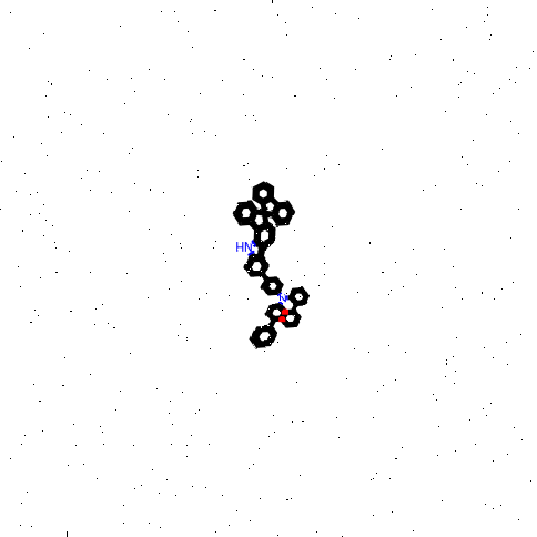 c1ccc(-c2ccc(N(c3ccc(-c4ccc5[nH]c6c7c(ccc6c5c4)C4(c5ccccc5-c5ccccc54)c4ccccc4-7)cc3)c3ccccc3-c3ccccc3)cc2)cc1